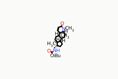 CC(C)COC(=O)NC[C@H]1CC[C@H]2[C@@H]3CC[C@H]4N(C)C(=O)C=C[C@]4(C)[C@H]3CC[C@]12C